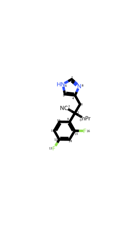 CCCC(C#N)(Cc1c[nH]cn1)c1ccc(F)cc1F